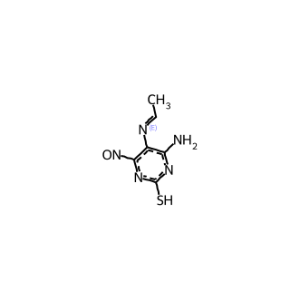 C/C=N/c1c(N)nc(S)nc1N=O